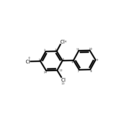 Clc1cc(Cl)c(-c2cc[c]cc2)c(Cl)c1